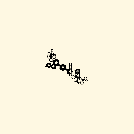 COC(=O)N[C@H](C(=O)N1CCC[C@H]1c1ncc(-c2ccc(-c3ccc(OS(=O)(=O)C(F)(F)F)c4c3CCC43CCCC3)cc2)[nH]1)C(C)C